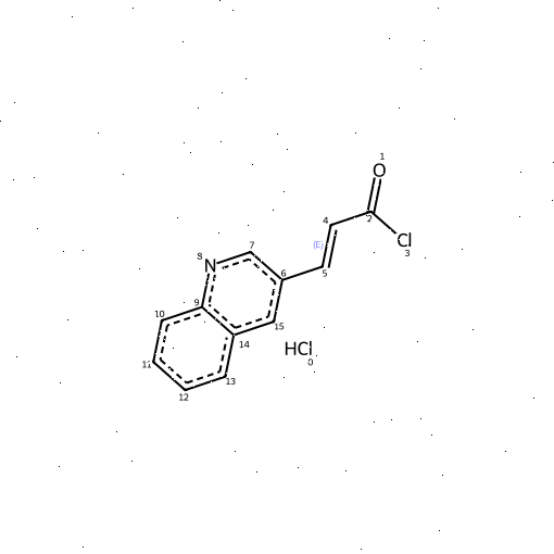 Cl.O=C(Cl)/C=C/c1cnc2ccccc2c1